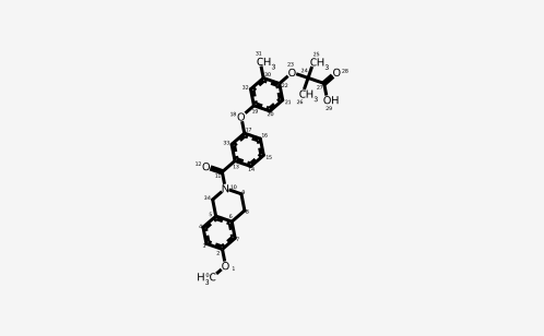 COc1ccc2c(c1)CCN(C(=O)c1cccc(Oc3ccc(OC(C)(C)C(=O)O)c(C)c3)c1)C2